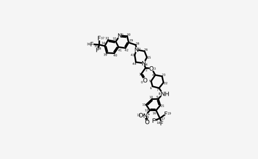 O=CC(OC1CCC(Nc2ccc([N+](=O)[O-])c(C(F)(F)F)c2)CC1)N1CCN(Cc2cnc3cc(C(F)(F)F)ccc3c2)CC1